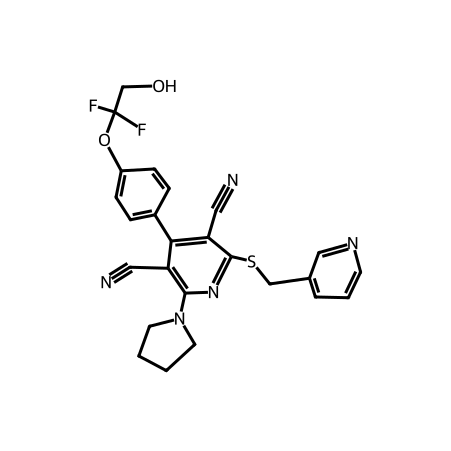 N#Cc1c(SCc2cccnc2)nc(N2CCCC2)c(C#N)c1-c1ccc(OC(F)(F)CO)cc1